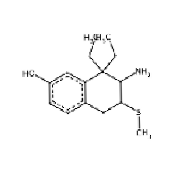 CCC1(CC)c2cc(O)ccc2CC(SC)C1N